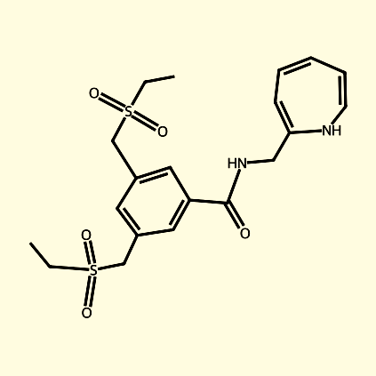 CCS(=O)(=O)Cc1cc(CS(=O)(=O)CC)cc(C(=O)NCC2=CC=CC=CN2)c1